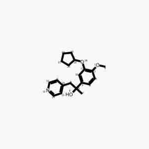 COc1ccc(C(C)(O)Cc2ccncc2)cc1OC1CCCC1